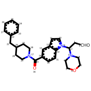 O=CCC(N1CCOCC1)n1ccc2cc(C(=O)N3CCC(Cc4ccccc4)CC3)ccc21